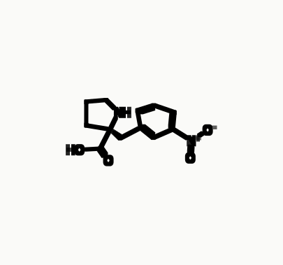 O=C(O)[C@]1(Cc2cccc([N+](=O)[O-])c2)CCCN1